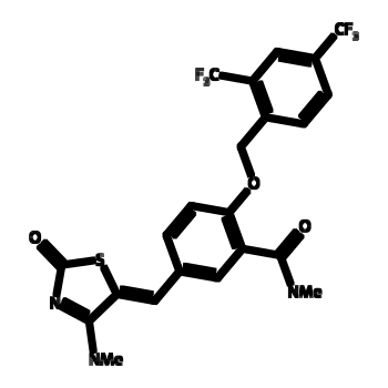 CNC(=O)c1cc(/C=C2\SC(=O)N=C2NC)ccc1OCc1ccc(C(F)(F)F)cc1C(F)(F)F